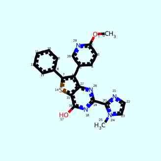 COc1ccc(-c2c(-c3ccccc3)sc3c(O)nc(-c4nccn4C)nc23)cn1